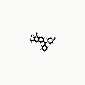 CCc1cc2cc(C(C3CCCCC3)N3CCN(C)CC3)ccc2[nH]c1=O